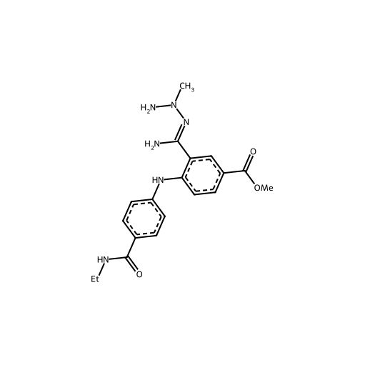 CCNC(=O)c1ccc(Nc2ccc(C(=O)OC)cc2/C(N)=N/N(C)N)cc1